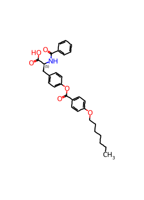 CCCCCCCOc1ccc(C(=O)Oc2ccc(C[C@H](NC(=O)c3ccccc3)C(=O)O)cc2)cc1